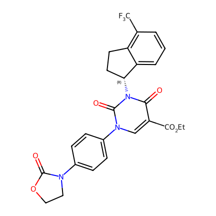 CCOC(=O)c1cn(-c2ccc(N3CCOC3=O)cc2)c(=O)n([C@@H]2CCc3c2cccc3C(F)(F)F)c1=O